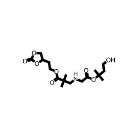 CC(C)(CCO)OC(=O)CNCC(C)(C)C(=O)OCCC1COC(=O)O1